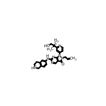 C=CCn1c(=O)c2cnc(Nc3ccc4c(c3)CCNC4)nc2n1-c1ccnc(C(C)(C)CO)c1